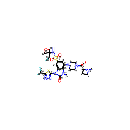 CN1CC[C@@H]1C(=O)N1CCN(c2cc(S(=O)(=O)NC3(CF)COC3)cc3c2n(C)c(=O)n3-c2nnc(C(F)F)s2)CC1